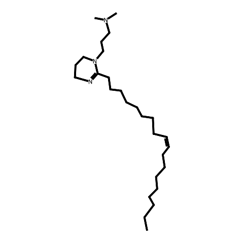 CCCCCCCC/C=C\CCCCCCCCC1=NCCCN1CCCN(C)C